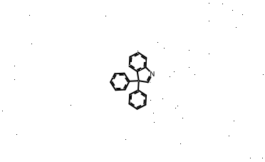 [C]1=Nc2ccccc2C1(c1ccccc1)c1ccccc1